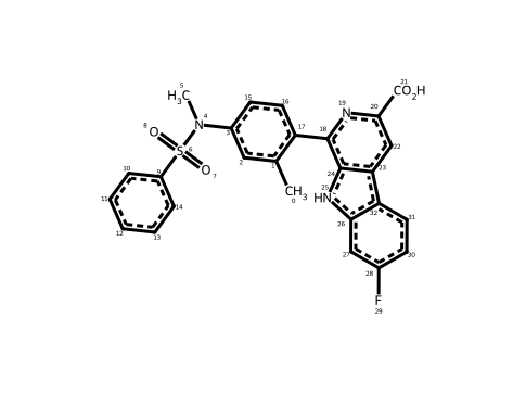 Cc1cc(N(C)S(=O)(=O)c2ccccc2)ccc1-c1nc(C(=O)O)cc2c1[nH]c1cc(F)ccc12